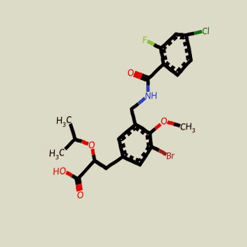 COc1c(Br)cc(CC(OC(C)C)C(=O)O)cc1CNC(=O)c1ccc(Cl)cc1F